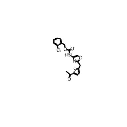 CC(=O)c1ccc(Cc2nc(NC(=O)OCc3ccccc3Cl)co2)s1